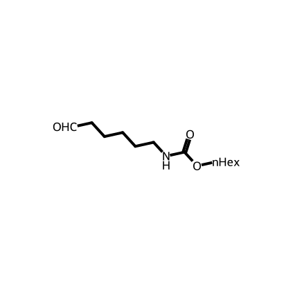 CCCCCCOC(=O)NCCCCCC=O